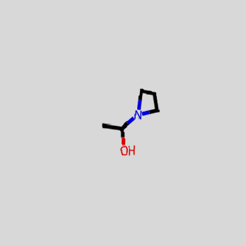 CC(O)N1CCC1